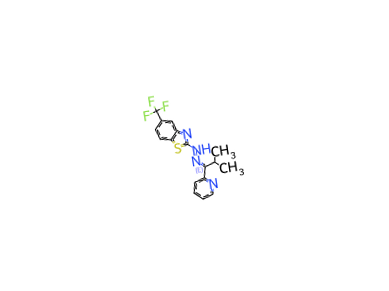 CC(C)/C(=N\Nc1nc2cc(C(F)(F)F)ccc2s1)c1ccccn1